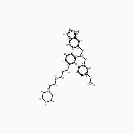 COc1cccc(CN(Cc2ccc3nc[nH]c3c2)c2cccc(OCCOCCN3CCOCC3)c2)c1